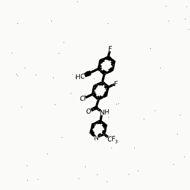 C#Cc1cc(F)ccc1-c1cc(Cl)c(C(=O)Nc2ccnc(C(F)(F)F)c2)cc1F